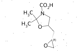 CC1(C)OC(C[C@@H]2CO2)CN1C(=O)O